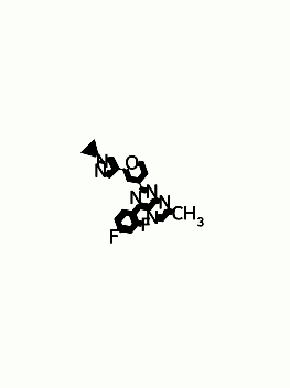 Cc1cnc2c(-c3ccc(F)cc3F)nc([C@H]3CCO[C@@H](c4cnn(C5CC5)c4)C3)nc2n1